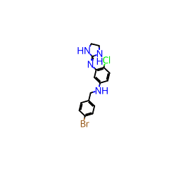 Clc1ccc(NCc2ccc(Br)cc2)cc1N=C1NCCN1